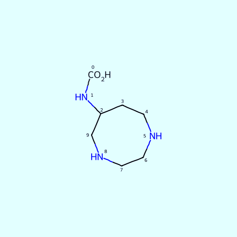 O=C(O)NC1CCNCCNC1